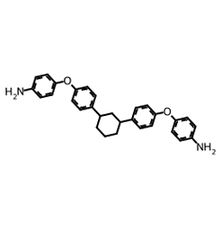 Nc1ccc(Oc2ccc(C3CCCC(c4ccc(Oc5ccc(N)cc5)cc4)C3)cc2)cc1